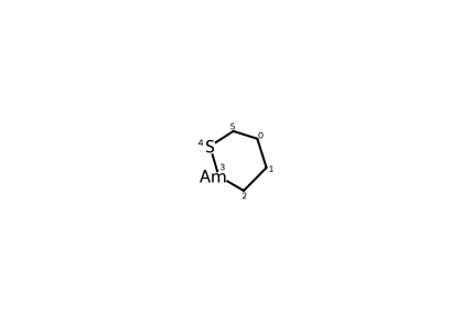 C1C[CH2][Am][S]C1